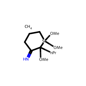 C.CCCC1(OC)C(=N)CCC[Si]1(OC)OC